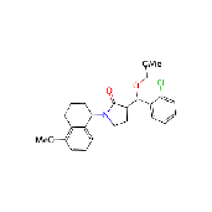 COCOC(c1ccccc1Cl)C1CCN(C2CCCc3c(OC)cccc32)C1=O